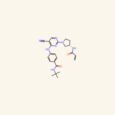 C=CC(=O)N[C@H]1CCN(c2ncc(C#N)c(Nc3ccc(C(=O)NC(C)(C)C)cc3)n2)C1